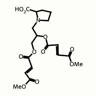 COC(=O)C=CC(=O)OCC(CN1CCCC1C(=O)O)OC(=O)C=CC(=O)OC